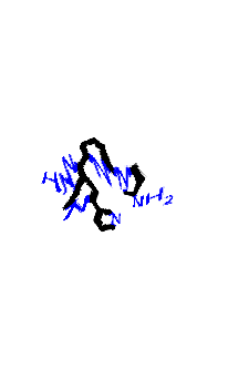 NC1CCN(c2cccc(-c3n[nH]c4cnc(-c5cccnc5)cc34)n2)C1